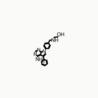 Nc1ncnc2c1c(-c1ccccc1)cn2-c1ccc(CNCCO)cc1